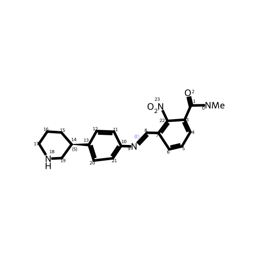 CNC(=O)c1cccc(/C=N/c2ccc([C@@H]3CCCNC3)cc2)c1[N+](=O)[O-]